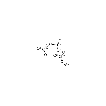 [In+3].[O-][Cl+2]([O-])[O-].[O-][Cl+2]([O-])[O-].[O-][Cl+2]([O-])[O-]